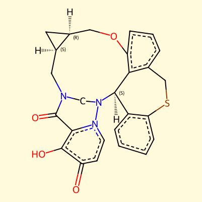 O=C1c2c(O)c(=O)ccn2N2CN1C[C@H]1C[C@H]1COc1cccc3c1[C@H]2c1ccccc1SC3